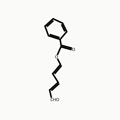 O=C/C=C/C=C/OC(=O)c1ccccc1